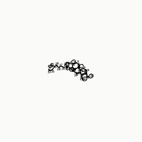 CC(C)[C@@]12OC1C1OC13C1(C)CCC4=C(COC4=O)C1CC1OC13C2OC(=O)CCCCC1CCSS1